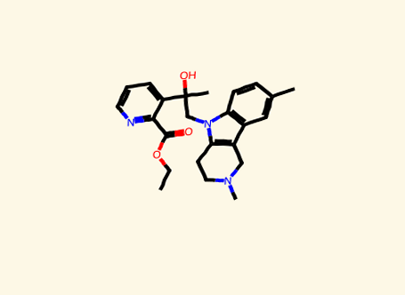 CCOC(=O)c1ncccc1C(C)(O)Cn1c2c(c3cc(C)ccc31)CN(C)CC2